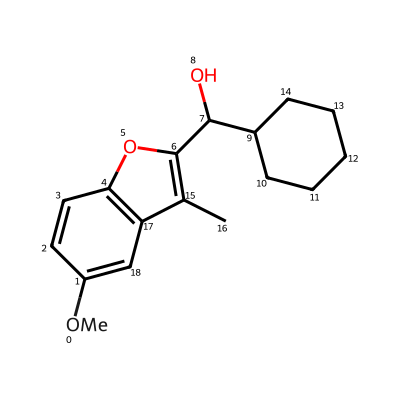 COc1ccc2oc(C(O)C3CCCCC3)c(C)c2c1